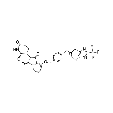 O=C1CCC(N2C(=O)c3cccc(OCc4ccc(CN5CCn6nc(C(F)(F)F)nc6C5)cc4)c3C2=O)C(=O)N1